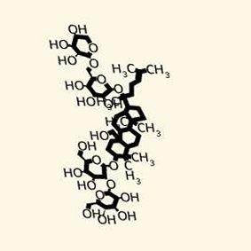 CC(C)=CCCC(C)(O[C@@H]1O[C@H](CO[C@H]2OC[C@@H](O)[C@H](O)[C@H]2O)[C@@H](O)[C@H](O)[C@H]1O)C1CCC2(C)C1CCC1C3(CO)CCC(O[C@@H]4O[C@H](CO)[C@@H](O)[C@H](O)[C@H]4O[C@@H]4O[C@H](CO)[C@@H](O)[C@H](O)[C@H]4O)C(C)(C)C3CCC12C